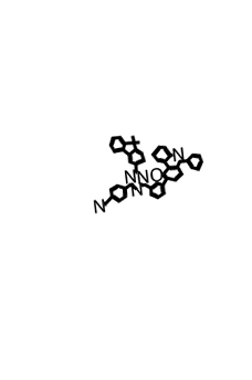 CC1(C)c2ccccc2-c2cc(-c3nc(-c4ccc(C#N)cc4)nc(-c4cccc5c4oc4c5ccc5c(-c6ccccc6)nc6ccccc6c54)n3)ccc21